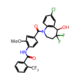 COc1cc(C(=O)N2CCC(F)(F)C(O)c3cc(Cl)ccc32)ccc1NC(=O)c1ccccc1C(F)(F)F